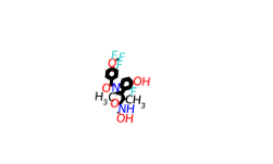 Cc1c([C@@H](C)C(=O)NCO)c2c(F)c(O)ccc2n1C(=O)c1ccc(OC(F)(F)F)cc1